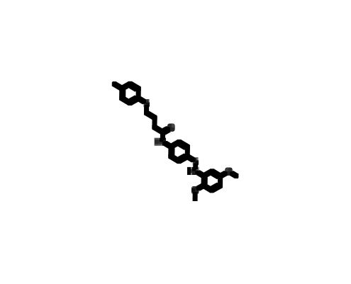 COc1ccc(OC)c(NSc2ccc(NC(=O)CCCSc3ccc(C)cc3)cc2)c1